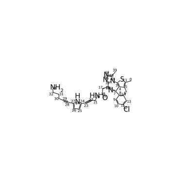 Cc1sc2c(c1C)C(c1ccc(Cl)cc1)=N[C@@H](CC(=O)NCC#Cc1ccc(C#CCCCN)[nH]1)c1nnc(C)n1-2